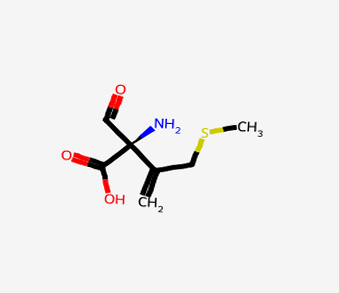 C=C(CSC)[C@@](N)(C=O)C(=O)O